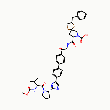 COC(=O)N[C@H](C(=O)N1CCC[C@H]1c1nc(-c2ccc(-c3ccc(C(=O)CNC(=O)[C@@H]4CC5(CN4C(=O)O)SCC(Cc4ccccc4)S5)cc3)cc2)c[nH]1)C(C)C